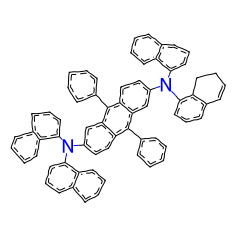 C1=Cc2cccc(N(c3ccc4c(-c5ccccc5)c5cc(N(c6cccc7ccccc67)c6cccc7ccccc67)ccc5c(-c5ccccc5)c4c3)c3cccc4ccccc34)c2CC1